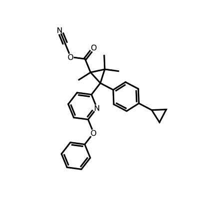 CC1(C)C(C)(C(=O)OC#N)C1(c1ccc(C2CC2)cc1)c1cccc(Oc2ccccc2)n1